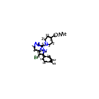 COC1CCN(c2nccc3c(Br)c(-c4ccccc4)nn23)CC1